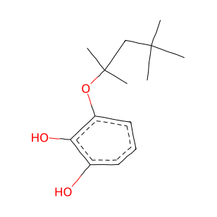 CC(C)(C)CC(C)(C)Oc1cccc(O)c1O